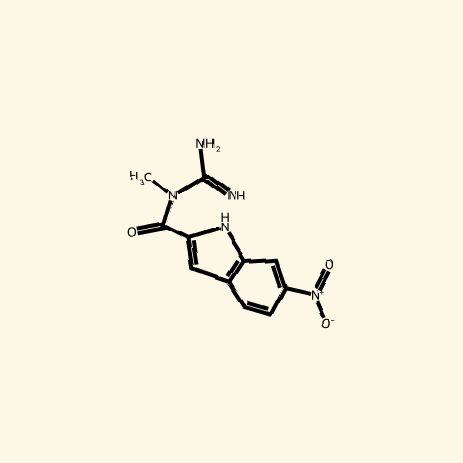 CN(C(=N)N)C(=O)c1cc2ccc([N+](=O)[O-])cc2[nH]1